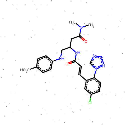 CN(C)C(=O)CC(CNc1ccc(C(=O)O)cc1)NC(=O)/C=C/c1cc(Cl)ccc1-n1cnnn1